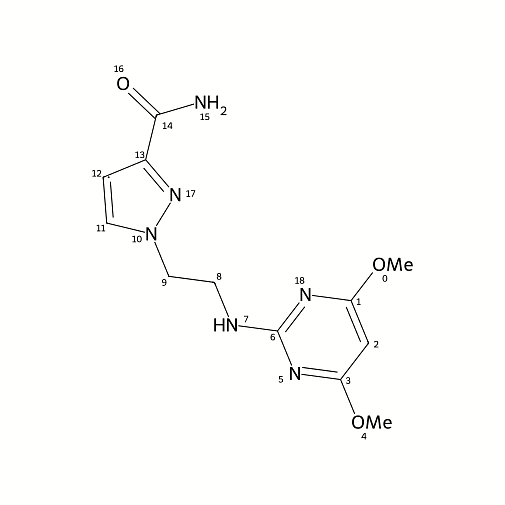 COc1cc(OC)nc(NCCn2c[c]c(C(N)=O)n2)n1